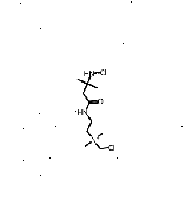 CC(C)(CC(=O)NCC[N+](C)(C)CCl)NCl